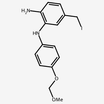 COCOc1ccc(Nc2cc(CI)ccc2N)cc1